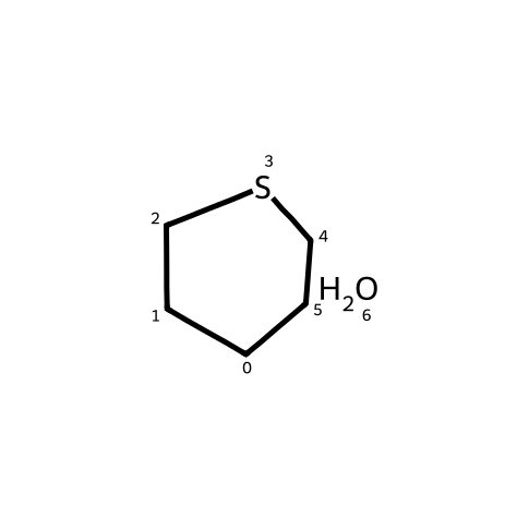 C1CCSCC1.O